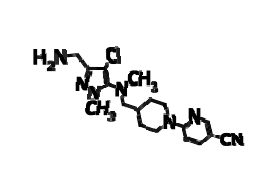 CN(CC1CCN(c2ccc(C#N)cn2)CC1)c1c(Cl)c(CN)nn1C